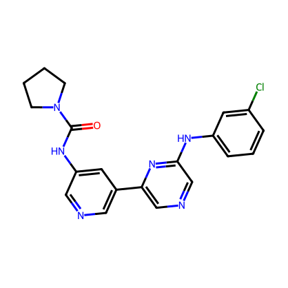 O=C(Nc1cncc(-c2cncc(Nc3cccc(Cl)c3)n2)c1)N1CCCC1